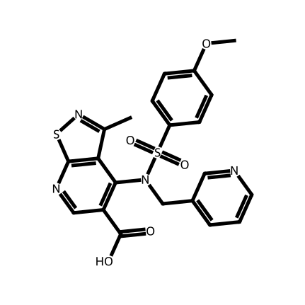 COc1ccc(S(=O)(=O)N(Cc2cccnc2)c2c(C(=O)O)cnc3snc(C)c23)cc1